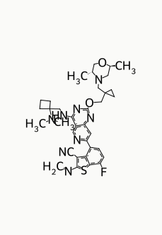 C=Nc1sc2c(F)ccc(-c3cc4nc(OCC5(CN6C[C@H](C)OC[C@H]6C)CC5)nc(NCC5(N(C)C)CCC5)c4cn3)c2c1C#N